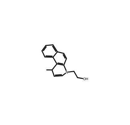 CC1C=CN(CCO)c2ccc3ccccc3c21